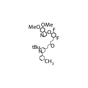 COc1cc2nccc(Oc3cc(CCC(=O)CCC4=CC(C(C)(C)C)=NC(C5=CC=CC(C)C5)C4)c(F)cc3F)c2cc1OC